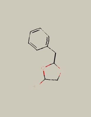 OC1COC(Cc2ccccc2)O1